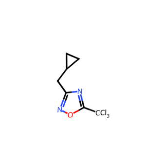 ClC(Cl)(Cl)c1nc(CC2CC2)no1